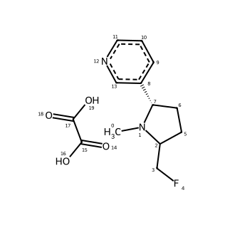 CN1C(CF)CC[C@H]1c1cccnc1.O=C(O)C(=O)O